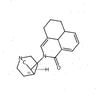 O=C1C2=CC=CC3CCCC(=CN1[C@@H]1CN4CCC1CC4)C23